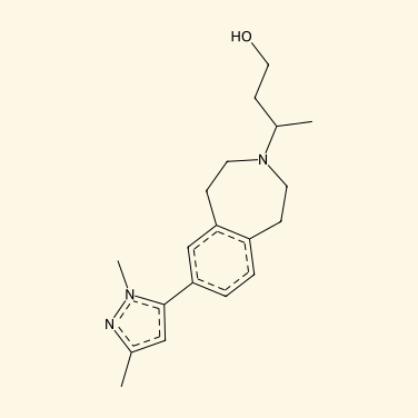 Cc1cc(-c2ccc3c(c2)CCN(C(C)CCO)CC3)n(C)n1